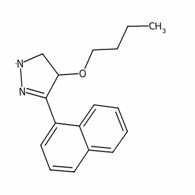 CCCCOC1C[N]N=C1c1cccc2ccccc12